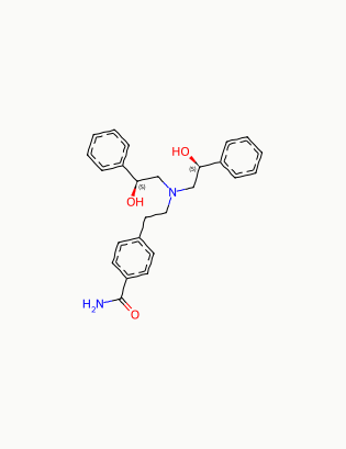 NC(=O)c1ccc(CCN(C[C@@H](O)c2ccccc2)C[C@@H](O)c2ccccc2)cc1